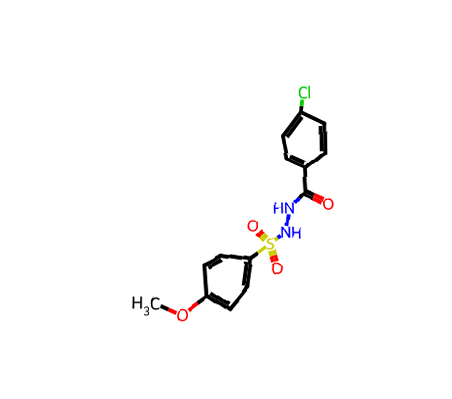 COc1ccc(S(=O)(=O)NNC(=O)c2ccc(Cl)cc2)cc1